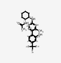 CC(=O)N[C@@H]1CCCC[C@H]1Nc1nnc(-c2ccc(C(F)(F)F)cc2O)c(C)n1